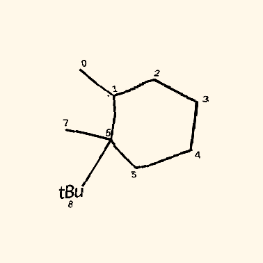 C[C]1CCCCC1(C)C(C)(C)C